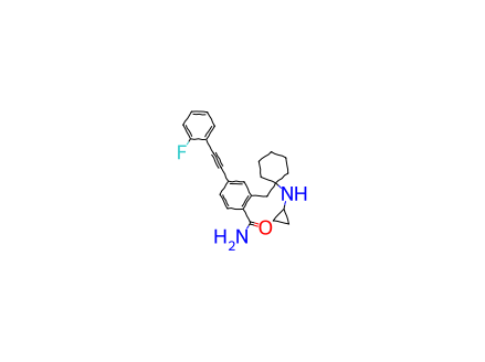 NC(=O)c1ccc(C#Cc2ccccc2F)cc1CC1(NC2CC2)CCCCC1